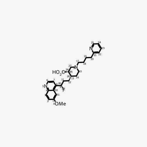 COc1ccc2nccc([C@H](F)CC[C@@H]3CCN(CCCCc4ccccn4)C[C@@H]3C(=O)O)c2c1